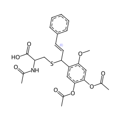 COc1cc(OC(C)=O)c(OC(C)=O)cc1C(/C=C/c1ccccc1)SCC(NC(C)=O)C(=O)O